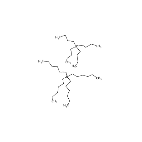 CCCCCC[N+](CCCCCC)(CCCCCC)CCCCCC.CCCC[N+](CCCC)(CCCC)CCCC